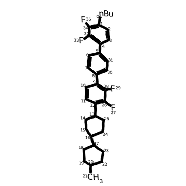 CCCCc1ccc(-c2ccc(-c3ccc(C4CCC(C5CCC(C)CC5)CC4)c(F)c3F)cc2)c(F)c1F